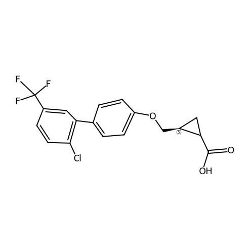 O=C(O)C1C[C@@H]1COc1ccc(-c2cc(C(F)(F)F)ccc2Cl)cc1